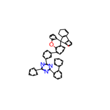 C1=CC2=C(CC1)C1(c3ccccc3Oc3c(-c4cccc(-c5nc(-c6ccccc6)nc(-c6ccccc6-c6ccccc6)n5)c4)cccc31)c1ccccc12